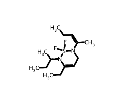 CC/C=C(/C)N1CC=C(CC)N(C(C)CC)S1(F)F